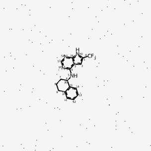 FC(F)(F)c1cc2c(N[C@@H]3CCCc4ccccc43)ncnc2[nH]1